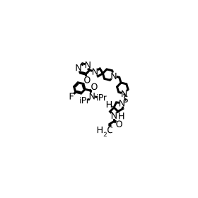 C=CC(=O)N1C[C@H]2CN(SN3CCC(CN4CCC5(CC4)CN(c4ncncc4Oc4ccc(F)cc4C(=O)N(C(C)C)C(C)C)C5)CC3)C[C@H]21